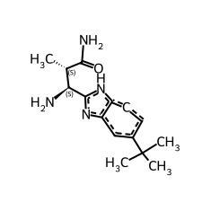 C[C@H](C(N)=O)[C@H](N)c1nc2cc(C(C)(C)C)ccc2[nH]1